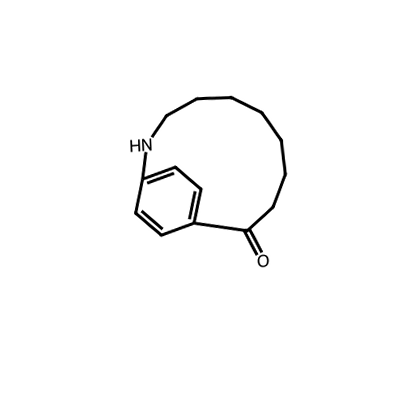 O=C1CCCCCCCNc2ccc1cc2